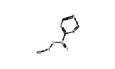 S=S(SSS)c1ncncn1